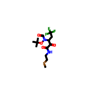 CSCCNC(=O)C(=O)C(CC(F)(F)F)N(C=O)OC(C)(C)C